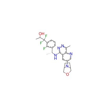 Cc1nnc(N[C@H](C)c2cccc(C(F)(F)C(C)O)c2F)c2cc(N3C4CCC3COC4)cnc12